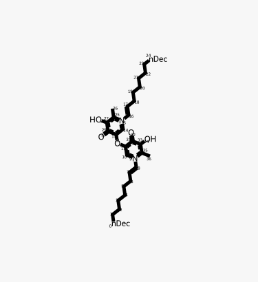 CCCCCCCCCCCCCCCCC=Cn1cc(Oc2cn(C=CCCCCCCCCCCCCCCCC)c(C)c(O)c2=O)c(=O)c(O)c1C